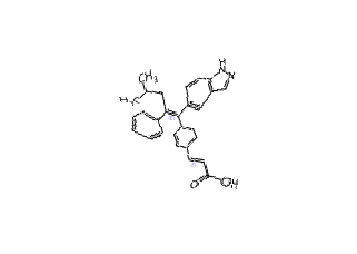 CC(C)C/C(=C(/c1ccc(/C=C/C(=O)O)cc1)c1ccc2[nH]ncc2c1)c1ccccc1